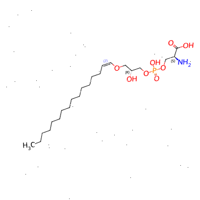 CCCCCCCCCCCCCC/C=C\OC[C@@H](O)COP(=O)(O)OC[C@H](N)C(=O)O